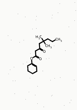 CCCC(C)(C)CC(=O)CC(=O)OC1=CCCCC1